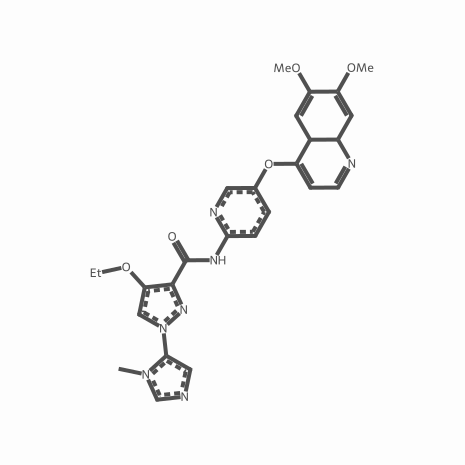 CCOc1cn(-c2cncn2C)nc1C(=O)Nc1ccc(OC2=CC=NC3C=C(OC)C(OC)=CC23)cn1